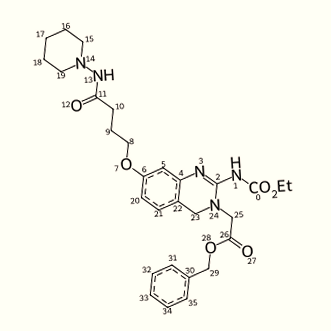 CCOC(=O)NC1=Nc2cc(OCCCC(=O)NN3CCCCC3)ccc2CN1CC(=O)OCc1ccccc1